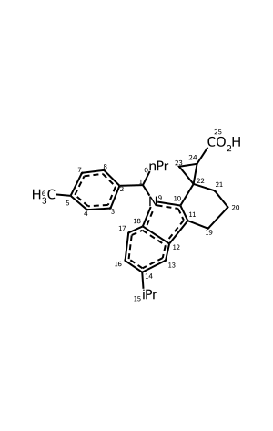 CCCC(c1ccc(C)cc1)n1c2c(c3cc(C(C)C)ccc31)CCCC21CC1C(=O)O